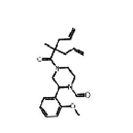 C=CCC(C)(CC=C)C(=O)N1CCN(C=O)C(c2ccccc2OC)C1